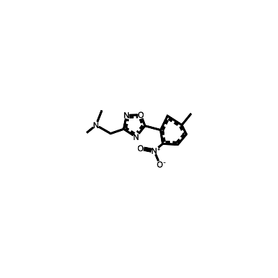 Cc1ccc([N+](=O)[O-])c(-c2nc(CN(C)C)no2)c1